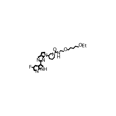 CCOCCCCCOCCNC(=O)N1CCCC(n2ccc3cnc(-c4c[nH]c5ncc(F)cc45)nc32)C1